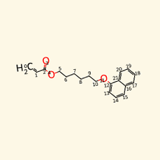 C=CC(=O)OCCCCCCOc1cccc2ccccc12